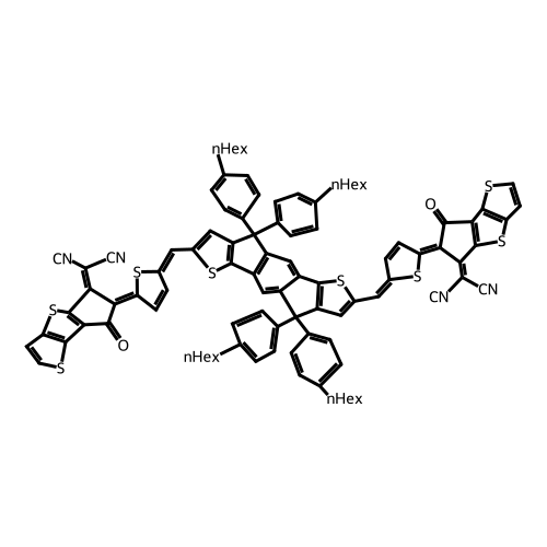 [C-]#[N+]/C(C#N)=C1/C(=c2/cc/c(=C\c3cc4c(s3)-c3cc5c(cc3C4(c3ccc(CCCCCC)cc3)c3ccc(CCCCCC)cc3)-c3sc(/C=c4\cc/c(=C6\C(=O)c7c(sc8ccsc78)\C6=C(/C#N)[N+]#[C-])s4)cc3C5(c3ccc(CCCCCC)cc3)c3ccc(CCCCCC)cc3)s2)C(=O)c2c1sc1ccsc21